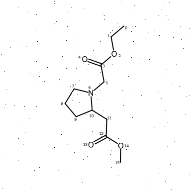 CCOC(=O)CN1CCCC1CC(=O)OC